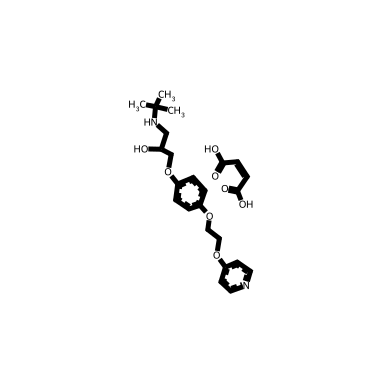 CC(C)(C)NCC(O)COc1ccc(OCCOc2ccncc2)cc1.O=C(O)/C=C\C(=O)O